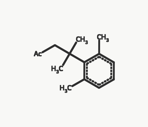 CC(=O)CC(C)(C)c1c(C)cccc1C